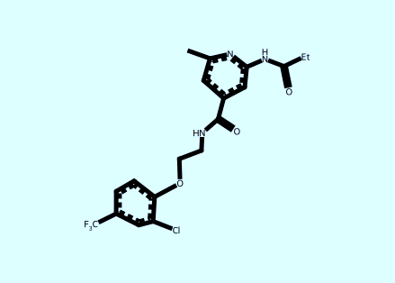 CCC(=O)Nc1cc(C(=O)NCCOc2ccc(C(F)(F)F)cc2Cl)cc(C)n1